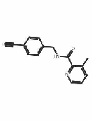 [CH2]c1cccnc1C(=O)NCc1ccc(C#N)cc1